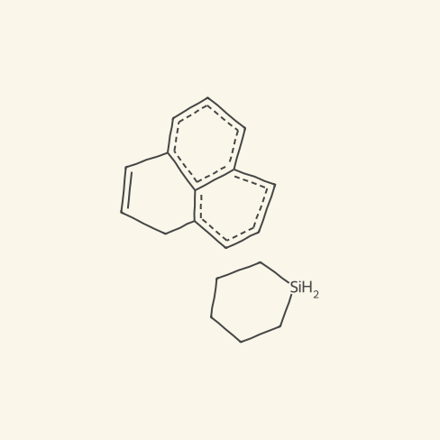 C1=Cc2cccc3cccc(c23)C1.C1CC[SiH2]CC1